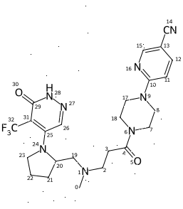 CN(CCC(=O)N1CCN(c2ccc(C#N)cn2)CC1)CC1CCCN1c1cn[nH]c(=O)c1C(F)(F)F